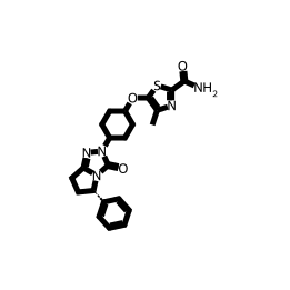 Cc1nc(C(N)=O)sc1OC1CCC(n2nc3n(c2=O)[C@H](c2ccccc2)CC3)CC1